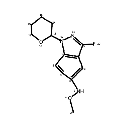 CONc1ccc2c(c1)c(F)nn2C1CCCCO1